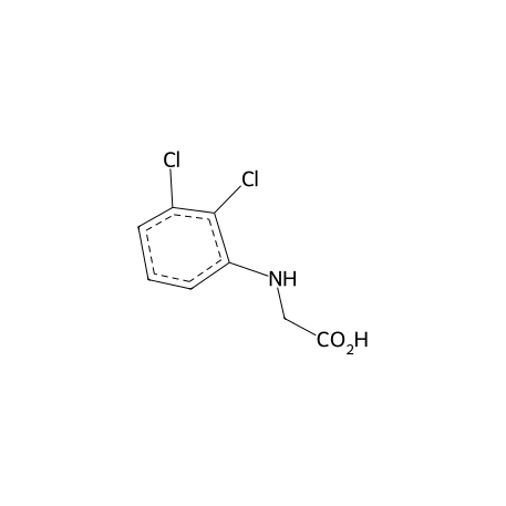 O=C(O)CNc1cccc(Cl)c1Cl